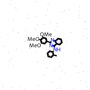 COc1cc(-c2nc(Nc3ccccc3C)c3ccccc3n2)cc(OC)c1OC